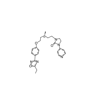 CCc1nc(-c2ccc(OCC[C@@H](C)CCN3CCN(c4ccncc4)C3=O)cc2)no1